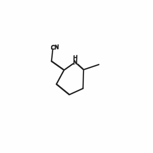 CC1CCCC(CC#N)N1